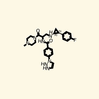 CN1CCN(C(=O)C(CN[C@@H]2C[C@H]2c2ccc(F)cc2)NC(=O)c2ccc(N3C=CNN3)cc2)CC1